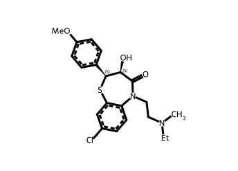 CCN(C)CCN1C(=O)[C@H](O)[C@H](c2ccc(OC)cc2)Sc2cc(Cl)ccc21